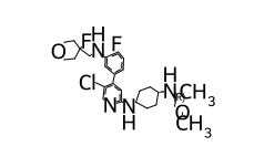 COC[C@@H](C)N[C@H]1CC[C@H](Nc2cc(-c3ccc(F)c(NCC4(F)CCOCC4)c3)c(Cl)cn2)CC1